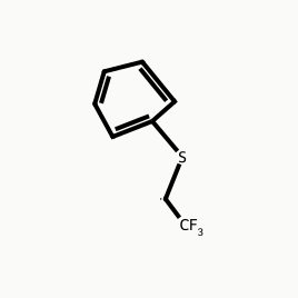 FC(F)(F)[CH]Sc1ccccc1